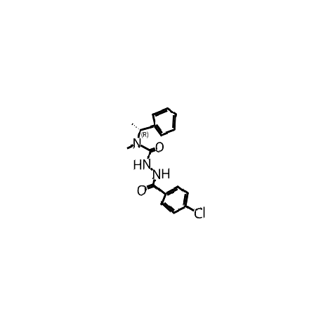 C[C@H](c1ccccc1)N(C)C(=O)NNC(=O)c1ccc(Cl)cc1